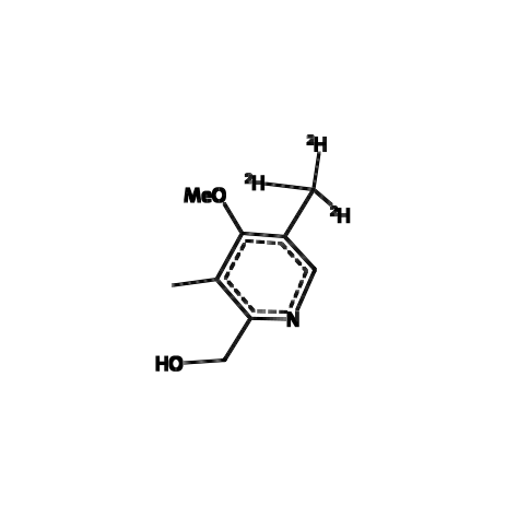 [2H]C([2H])([2H])c1cnc(CO)c(C)c1OC